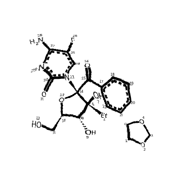 C1COCO1.CC[C@@]1(O)[C@H](O)[C@@H](CO)O[C@@]1(C(=O)c1ccccc1)n1cc(F)c(N)nc1=O